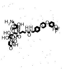 NC[C@H]1O[C@H]2O[C@H](C3OC(n4ccc(=O)[nH]c4=O)C(O)C3O)[C@@H](C(N)=O)N(CCCNC(=O)NCc3ccc(N4CCC(Oc5ccc(OC(F)(F)F)cc5)CC4)cc3)O[C@@H]2[C@@H]1O